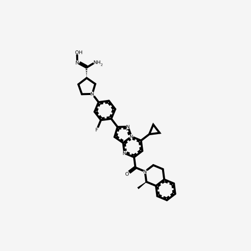 C[C@@H]1c2ccccc2CCN1C(=O)c1cc(C2CC2)n2nc(-c3ccc(N4CC[C@H](/C(N)=N/O)C4)cc3F)cc2n1